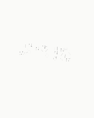 CO[C@H]1CN(c2cc3c(cn2)C[C@@H](NC(=O)c2sc4nc(C)ccc4c2N)CO3)C[C@@H]1N